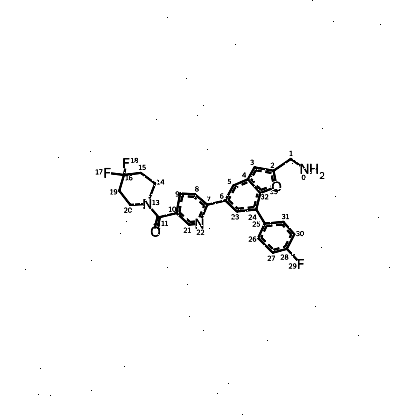 NCc1cc2cc(-c3ccc(C(=O)N4CCC(F)(F)CC4)cn3)cc(-c3ccc(F)cc3)c2o1